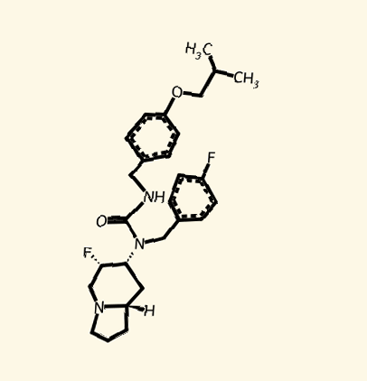 CC(C)COc1ccc(CNC(=O)N(Cc2ccc(F)cc2)[C@@H]2C[C@@H]3CCCN3C[C@@H]2F)cc1